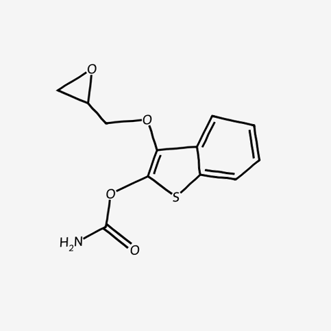 NC(=O)Oc1sc2ccccc2c1OCC1CO1